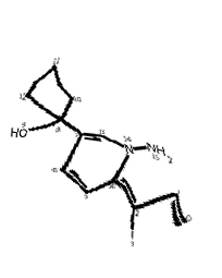 C=C/C(I)=C1/C=CC(C2(O)CCC2)=CN1N